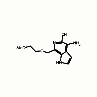 COCCOCc1nc(C#N)c(N)c2cc[nH]c12